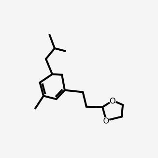 CC1=CC(CC(C)C)CC(CCC2OCCO2)=C1